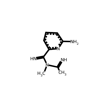 CC(=N)N(C)C(=N)c1cccc(N)n1